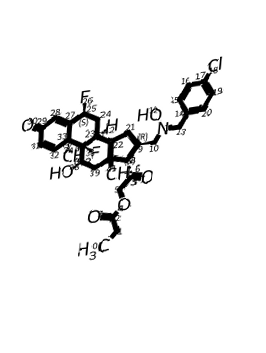 CCC(=O)OCC(=O)[C@H]1[C@H](CN(O)Cc2ccc(Cl)cc2)CC2[C@@H]3C[C@H](F)C4=CC(=O)C=C[C@]4(C)[C@@]3(F)[C@@H](O)CC21C